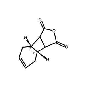 O=C1OC(=O)C2C1[C@H]1CC=CC[C@@H]21